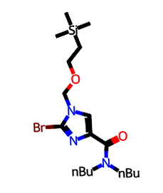 CCCCN(CCCC)C(=O)c1cn(COCC[Si](C)(C)C)c(Br)n1